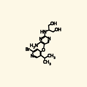 CC(C)c1cnc(Br)cc1Oc1cnc(NC(CO)CO)nc1N